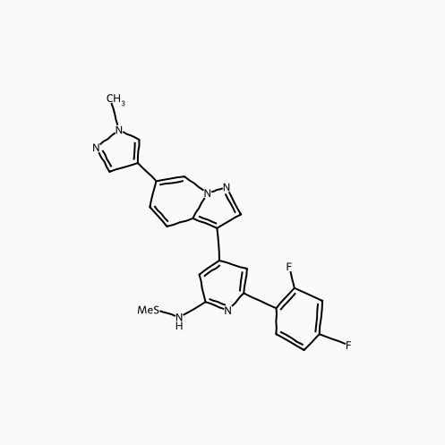 CSNc1cc(-c2cnn3cc(-c4cnn(C)c4)ccc23)cc(-c2ccc(F)cc2F)n1